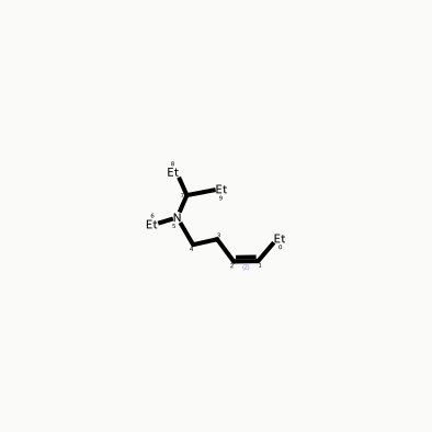 CC/C=C\CCN(CC)C(CC)CC